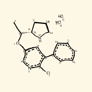 CC(Oc1cnc(Cl)c(-c2ccccc2)c1)[C@@H]1CCCN1.Cl.Cl